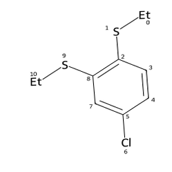 CCSc1ccc(Cl)cc1SCC